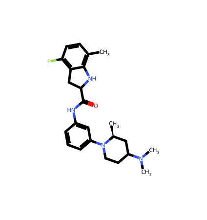 Cc1ccc(F)c2c1NC(C(=O)Nc1cccc(N3CCC(N(C)C)C[C@@H]3C)c1)C2